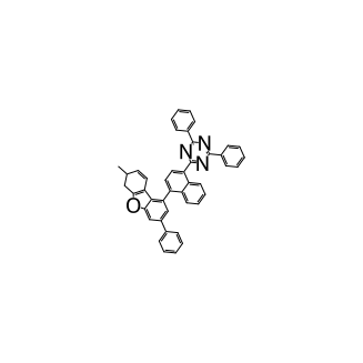 CC1C=Cc2c(oc3cc(-c4ccccc4)cc(-c4ccc(-c5nc(-c6ccccc6)nc(-c6ccccc6)n5)c5ccccc45)c23)C1